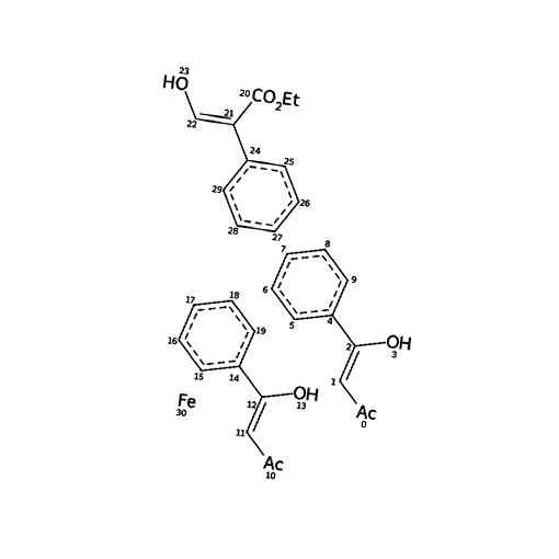 CC(=O)/C=C(\O)c1ccccc1.CC(=O)/C=C(\O)c1ccccc1.CCOC(=O)/C(=C\O)c1ccccc1.[Fe]